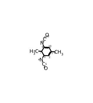 CC1=C[C](N=C=O)C(C)C(N=C=O)=[C]1